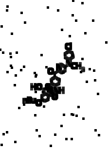 CCCCOc1ccc(S(=O)(=O)Nc2ccc(C(=O)c3ccc(N(C)c4ccc(Cl)cc4)cn3)cc2C(=O)O)cc1